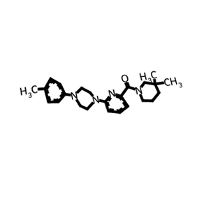 Cc1ccc(N2CCN(c3cccc(C(=O)N4CCCC(C)(C)C4)n3)CC2)cc1